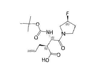 C=CC[C@H](C(=O)O)[C@H](NC(=O)OC(C)(C)C)C(=O)N1CC[C@H](F)C1